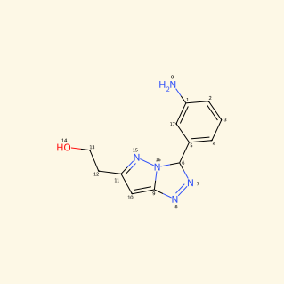 Nc1cccc(C2N=Nc3cc(CCO)nn32)c1